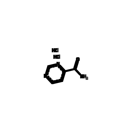 Cl.Cl.NC(=O)c1ccncn1